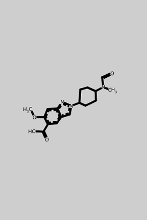 COc1cc2nn(C3CCC(N(C)C=O)CC3)cc2cc1C(=O)O